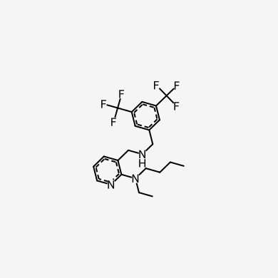 CCCCN(CC)c1ncccc1CNCc1cc(C(F)(F)F)cc(C(F)(F)F)c1